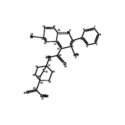 CCCc1c(-c2ccccc2)nc2ccc(Br)cc2c1C(=O)NC12CCC(C(=O)OC)(CC1)CC2